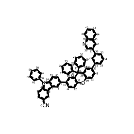 N#Cc1ccc2c(c1)c1cc(-c3ccc4c(c3)C(c3ccccc3)(c3ccccc3)c3cc(-c5cccc(-c6cnc7ccccc7c6)c5)ccc3O4)ccc1n2-c1ccccc1